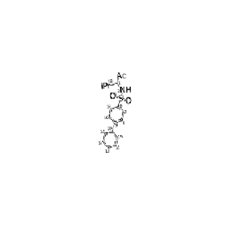 CC(=O)C(NS(=O)(=O)c1ccc(-c2ccccc2)cc1)C(C)C